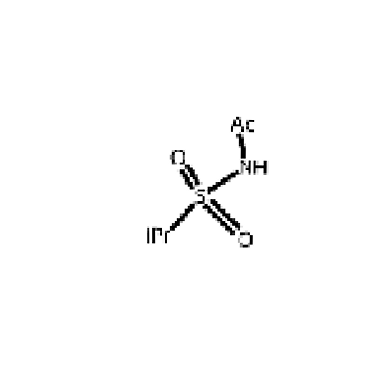 CC(=O)NS(=O)(=O)C(C)C